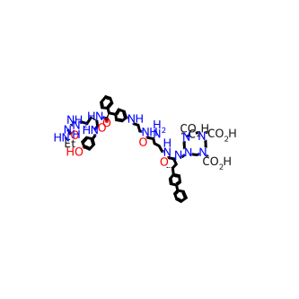 CCNC(=O)/N=C(/N)NCCC[C@@H](NC(=O)[C@@H](c1ccccc1)c1ccc(NCCCNC(=O)[C@H](N)CCCNC(=O)/C(C[C@@H](C)c2ccc(-c3ccccc3)cc2)=N/CN2CCN(CC(=O)O)CCN(CC(=O)O)CCN(CC(=O)O)CC2)cc1)C(=O)NCc1ccc(O)cc1